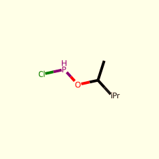 CC(C)C(C)OPCl